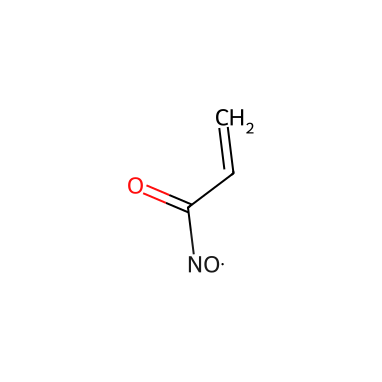 C=CC(=O)[N+]=O